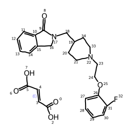 O=C(O)/C=C/C(=O)O.O=C1c2ccccc2CN1CC1CCN(CCOc2ccccc2F)CC1